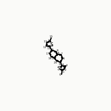 Cc1ccc(-c2ccc3cc(-c4ccc(C)s4)ccc3c2)s1